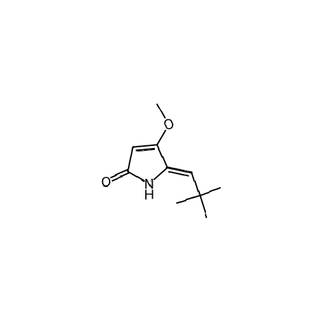 COC1=CC(=O)NC1=CC(C)(C)C